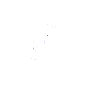 CCC(CCNCCCNC(=O)c1ccc(-c2ccc(C(F)(F)F)cn2)cc1)N1CCCCC1